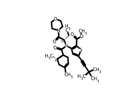 CC[C@@H](C(=O)N1CCOCC1)N(C(=O)C1CC=C(C)C[C@@H]1C)c1cc(C#CC(C)(C)C)sc1C(=O)OC